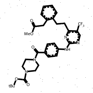 COC(=O)Cc1ccccc1CCc1nc(Nc2ccc(C(=O)N3CCN(C(=O)OC(C)(C)C)CC3)cc2)ncc1C(F)(F)F